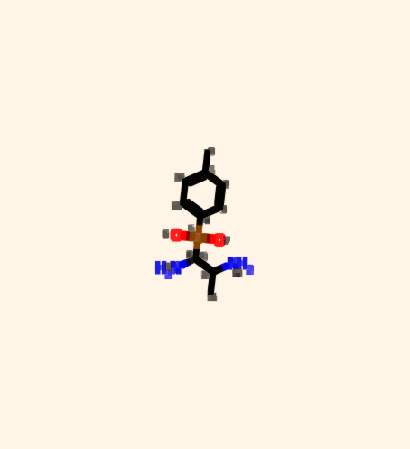 Cc1ccc(S(=O)(=O)[C@H](N)C(C)N)cc1